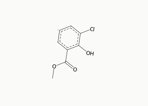 COC(=O)c1c[c]cc(Cl)c1O